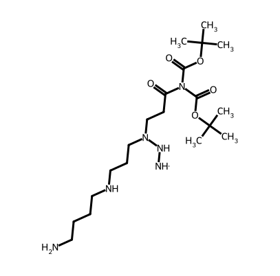 CC(C)(C)OC(=O)N(C(=O)CCN(CCCNCCCCN)N[NH])C(=O)OC(C)(C)C